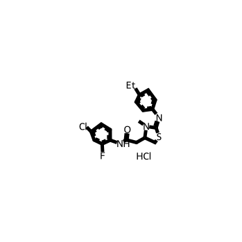 CCc1ccc(N=C2SCC(CC(=O)Nc3ccc(Cl)cc3F)N2C)cc1.Cl